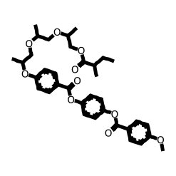 CCC(C)C(=O)OCC(C)OCC(C)OCC(C)Oc1ccc(C(=O)Oc2ccc(OC(=O)c3ccc(OC)cc3)cc2)cc1